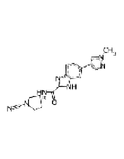 Cn1cc(-c2ccc3nc(C(=O)N[C@@H]4CCN(C#N)C4)[nH]c3c2)cn1